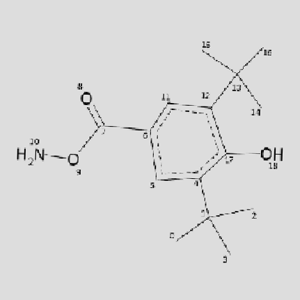 CC(C)(C)c1cc(C(=O)ON)cc(C(C)(C)C)c1O